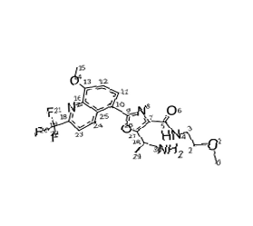 COCCNC(=O)c1nc(-c2ccc(OC)c3nc(C(F)(F)F)ccc23)oc1[C@H](C)N